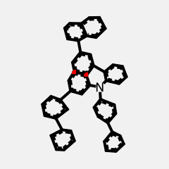 c1ccc(-c2ccc(N(c3cccc(-c4cccc(-c5ccccc5)c4)c3)c3ccccc3-c3cccc(-c4cccc5ccccc45)c3)cc2)cc1